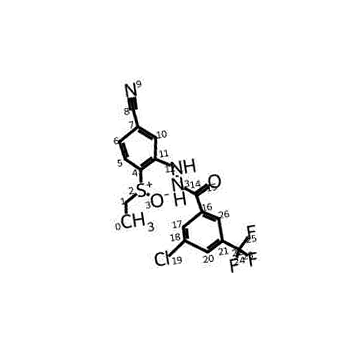 CC[S+]([O-])c1ccc(C#N)cc1NNC(=O)c1cc(Cl)cc(C(F)(F)F)c1